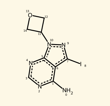 Nc1ncnc2c1c(I)nn2C1COC1